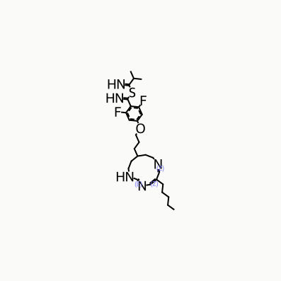 CCCCCC1=C/N=C/NCCC(CCCOc2cc(F)c(C(=N)SC(=N)C(C)C)c(F)c2)CC/N=C\1